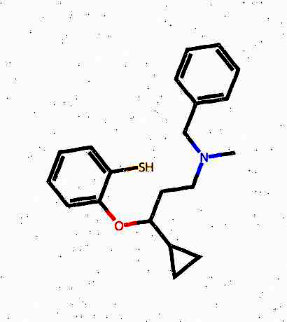 CN(CCC(Oc1ccccc1S)C1CC1)Cc1ccccc1